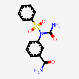 NC(=O)c1cccc(N(C(N)=O)S(=O)(=O)c2ccccc2)c1